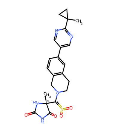 CC1(c2ncc(-c3ccc4c(c3)CCN(C(=S(=O)=O)[C@@]3(C)NC(=O)NC3=O)C4)cn2)CC1